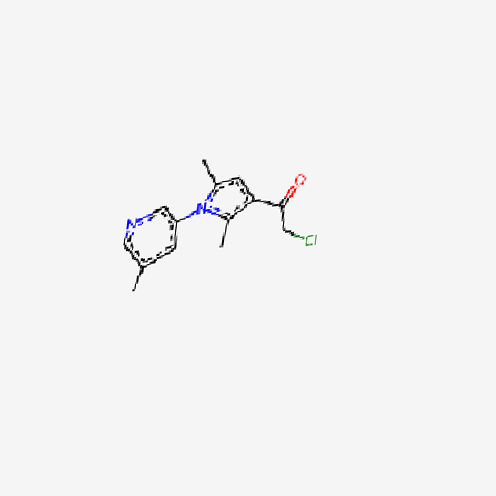 Cc1cncc(-n2c(C)cc(C(=O)CCl)c2C)c1